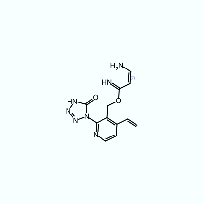 C=Cc1ccnc(-n2nn[nH]c2=O)c1COC(=N)/C=C\N